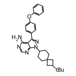 CC(C)(C)C1CC2(CCC(n3nc(-c4ccc(Oc5ccccc5)cc4)c4c(N)ncnc43)CC2)C1